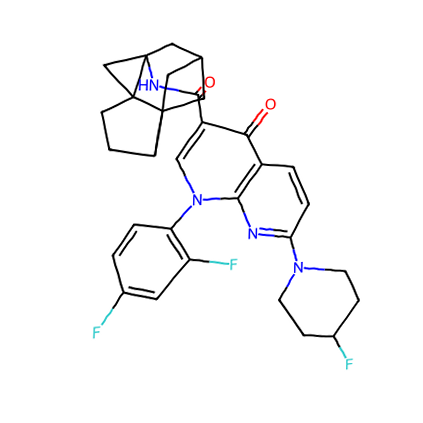 O=C(NC12CC3CC4CCC1(C2)C4C3)c1cn(-c2ccc(F)cc2F)c2nc(N3CCC(F)CC3)ccc2c1=O